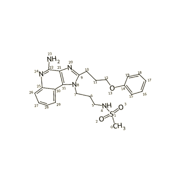 CS(=O)(=O)NCCCn1c(CCCOc2ccccc2)nc2c(N)nc3ccccc3c21